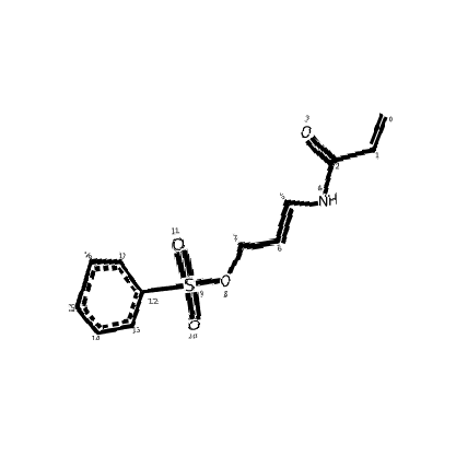 C=CC(=O)NC=CCOS(=O)(=O)c1ccccc1